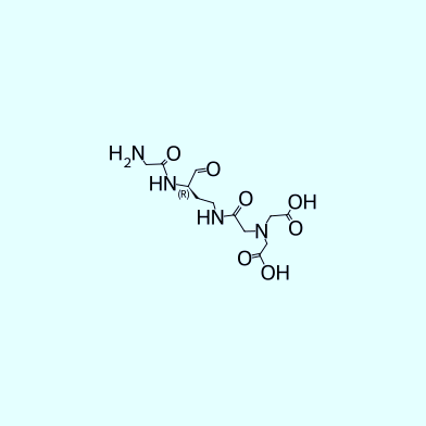 NCC(=O)N[C@@H](C=O)CCNC(=O)CN(CC(=O)O)CC(=O)O